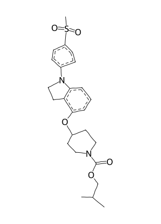 CC(C)COC(=O)N1CCC(Oc2cccc3c2CCN3c2ccc(S(C)(=O)=O)cc2)CC1